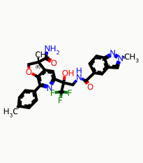 Cc1ccc(-c2nc(C(O)(CNC(=O)c3ccc4nn(C)cc4c3)C(F)(F)F)cc3c2OC[C@]3(C)C(N)=O)cc1